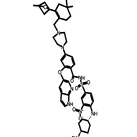 CN(C)[C@H]1CC[C@H](Nc2ccc(S(=O)(=O)NC(=O)c3ccc(N4CCN(CC5=C(C67CC(C)(C6)C7)CC(C)(C)CC5)CC4)cc3Oc3cnc4[nH]ccc4c3)cc2[N+](=O)[O-])CC1